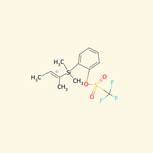 C/C=C(\C)[Si](C)(C)c1ccccc1OS(=O)(=O)C(F)(F)F